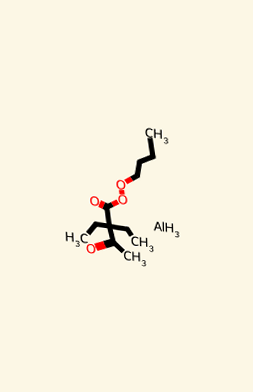 CCCCOOC(=O)C(CC)(CC)C(C)=O.[AlH3]